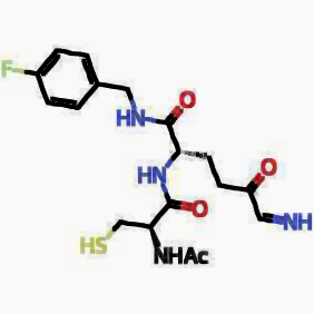 CC(=O)N[C@@H](CS)C(=O)N[C@@H](CCC(=O)C=N)C(=O)NCc1ccc(F)cc1